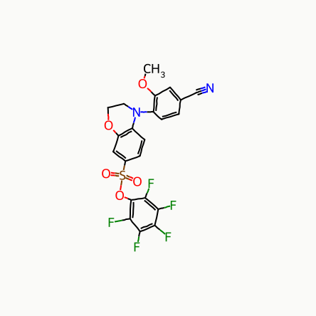 COc1cc(C#N)ccc1N1CCOc2cc(S(=O)(=O)Oc3c(F)c(F)c(F)c(F)c3F)ccc21